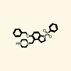 O=S(=O)(c1ccccc1)N1CCc2c1ccc(OCc1ccccc1)c2CN1CCNCC1